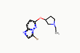 CCN1CCC(Oc2ccc3ncc(Br)n3n2)C1